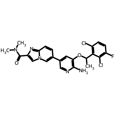 CC(Oc1cc(-c2ccc3nc(C(=O)N(C)C)cn3c2)cnc1N)c1c(Cl)ccc(F)c1Cl